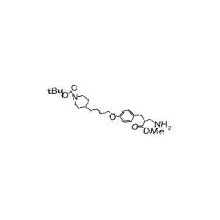 COC(=O)C(CN)Cc1ccc(OCCCCC2CCN(C(=O)OC(C)(C)C)CC2)cc1